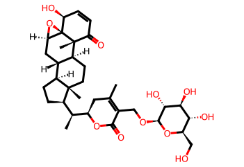 CC1=C(CO[C@@H]2O[C@H](CO)[C@@H](O)[C@H](O)[C@H]2O)C(=O)O[C@@H]([C@@H](C)[C@H]2CC[C@H]3[C@@H]4C[C@H]5O[C@]56[C@@H](O)C=CC(=O)[C@]6(C)[C@H]4CC[C@]23C)C1